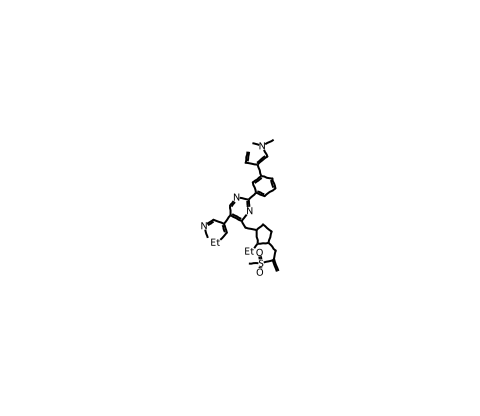 C=C/C(=C\N(C)C)c1cccc(-c2ncc(C(/C=N\C)=C/CC)c(CC3CCC(CC(=C)S(C)(=O)=O)C3CC)n2)c1